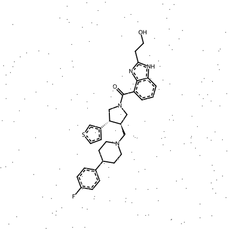 O=C(c1cccc2[nH]c(CCO)nc12)N1C[C@@H](CN2CCC(c3ccc(F)cc3)CC2)[C@H](c2ccsc2)C1